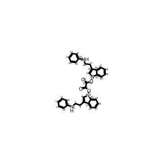 O=C(On1cc(CCNc2ccccc2)c2ccccc21)C(=O)On1cc(CCNc2ccccc2)c2ccccc21